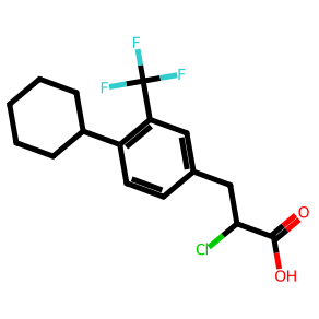 O=C(O)C(Cl)Cc1ccc(C2CCCCC2)c(C(F)(F)F)c1